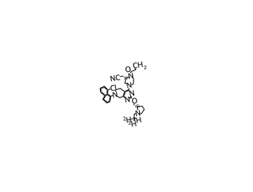 [2H]C([2H])([2H])CN1CCC[C@H]1COc1nc2c(c(N3CCN(C(=O)C=C)[C@@H](CC#N)C3)n1)CCN(c1cccc3cccc(Cl)c13)C2